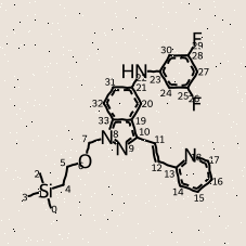 C[Si](C)(C)CCOCn1nc(/C=C/c2ccccn2)c2cc(Nc3cc(F)cc(F)c3)ccc21